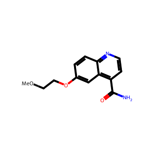 COCCOc1ccc2nccc(C(N)=O)c2c1